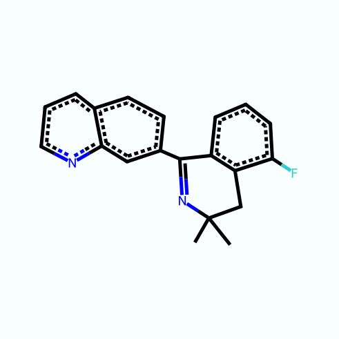 CC1(C)Cc2c(F)cccc2C(c2ccc3cccnc3c2)=N1